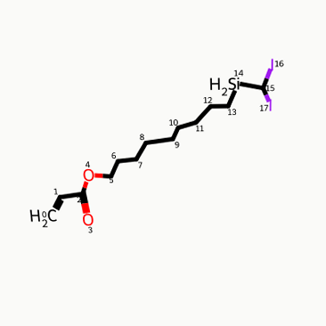 C=CC(=O)OCCCCCCCCC[SiH2]C(I)I